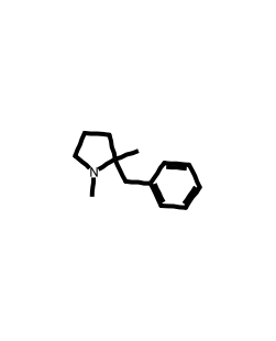 CN1CCCC1(C)Cc1ccccc1